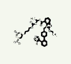 CCOc1nc2cccc(C(=O)OC(C)OC(=O)OCCCC[C@H](CO[N+](=O)[O-])O[N+](=O)[O-])c2n1Cc1ccc(-c2ccccc2-c2nnn[nH]2)cc1